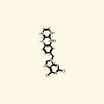 Clc1nc(Cl)c2ncn(Cc3ccc4c(c3)Nc3nccnc3S4)c2n1